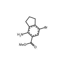 COC(=O)c1cc(Br)c2c(c1N)CCC2